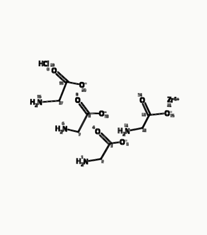 Cl.NCC(=O)[O-].NCC(=O)[O-].NCC(=O)[O-].NCC(=O)[O-].[Zr+4]